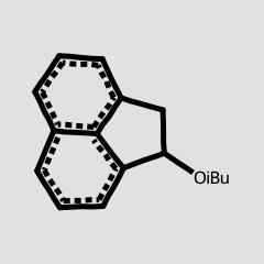 CC(C)COC1Cc2cccc3cccc1c23